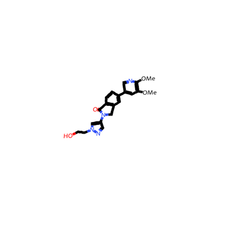 COc1cc(-c2ccc3c(c2)CN(c2cnn(CCO)c2)C3=O)cnc1OC